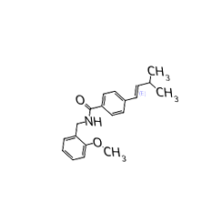 COc1ccccc1CNC(=O)c1ccc(/C=C/C(C)C)cc1